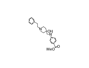 COC(=O)c1ccc(N(C)CC2(O)CCN(CCc3ccccc3)CC2)cc1